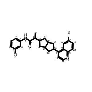 CC(C(=O)Nc1cccc(Cl)c1)C1CC2CC(c3ccnc4ccc(F)cc34)CC2C1